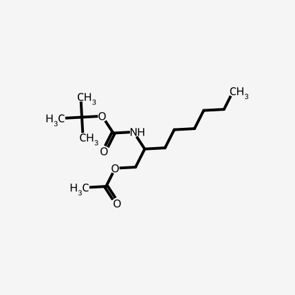 CCCCCCC(COC(C)=O)NC(=O)OC(C)(C)C